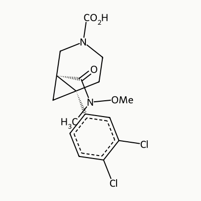 CON(C)C(=O)[C@]12CN(C(=O)O)CC[C@@]1(c1ccc(Cl)c(Cl)c1)C2